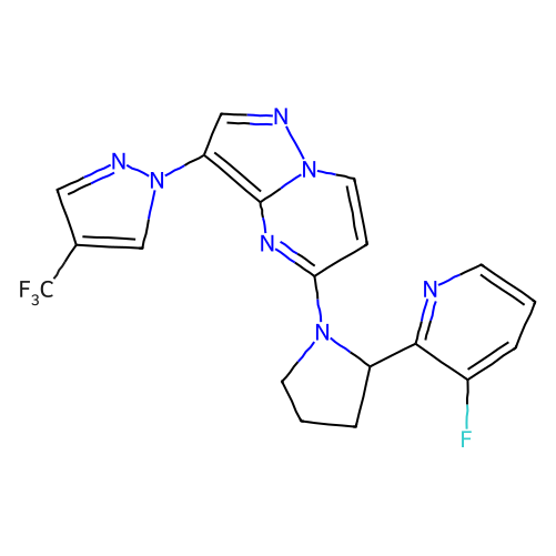 Fc1cccnc1C1CCCN1c1ccn2ncc(-n3cc(C(F)(F)F)cn3)c2n1